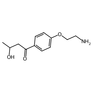 CC(O)CC(=O)c1ccc(OCCN)cc1